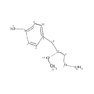 COCC(Cc1ccc(O)cc1)OC